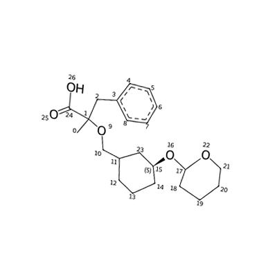 CC(Cc1ccccc1)(OCC1CCC[C@H](OC2CCCCO2)C1)C(=O)O